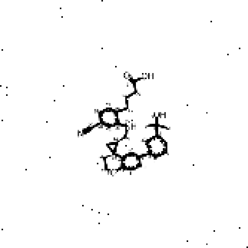 CC(C)(O)c1cccc(-c2ccc3c(c2)[C@]2(CCO3)C[C@H]2CNc2cc(C#N)ccc2CCCC(=O)O)c1